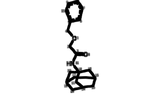 O=C(COCc1ccccc1)NC12CC3CC(CC(C3)C1)C2